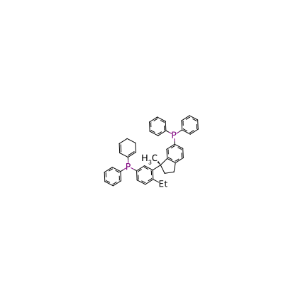 CCc1ccc(P(C2=CCCC=C2)c2ccccc2)cc1[C@@]1(C)CCc2ccc(P(c3ccccc3)c3ccccc3)cc21